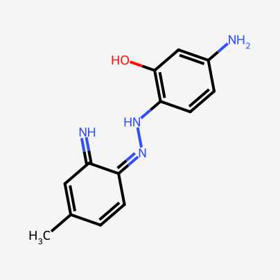 CC1=CC(=N)/C(=N\Nc2ccc(N)cc2O)C=C1